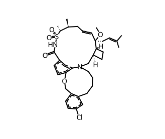 CO[C@]1(CC=C(C)C)/C=C/C[C@H](C)[C@@H](C)S(=O)(=O)NC(=O)c2ccc3c(c2)N(CCCCc2cc(Cl)ccc2CO3)C[C@@H]2CC[C@H]21